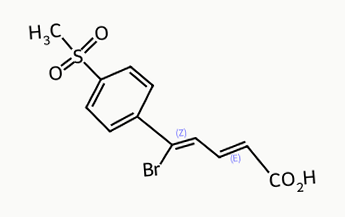 CS(=O)(=O)c1ccc(/C(Br)=C/C=C/C(=O)O)cc1